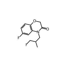 CC(CI)CN1C(=O)COc2ccc(F)cc21